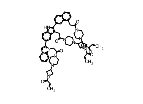 C=CC(=O)N1CC(N2CCN(C(=O)Cc3cccc4ccc(-c5[nH]c6ccc(-c7cc8ccccc8n7CC(=O)N7CCN(C8CN(C(=O)C=C)C8)CC7)cc6c5CC(=O)N5CCN(C6CN(C(=O)C=C)C6)CC5)cc34)CC2)C1